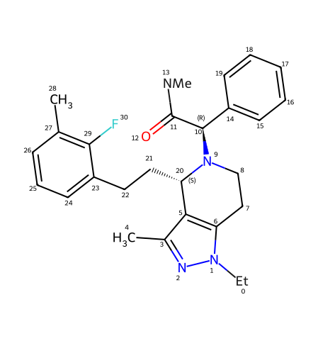 CCn1nc(C)c2c1CCN([C@@H](C(=O)NC)c1ccccc1)[C@H]2CCc1cccc(C)c1F